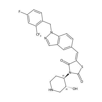 O=C1SC(=Cc2ccc3c(cnn3Cc3ccc(F)cc3C(F)(F)F)c2)C(=O)N1[C@@H]1CCNC[C@H]1O